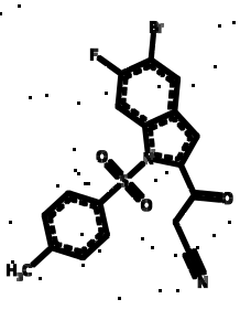 Cc1ccc(S(=O)(=O)n2c(C(=O)CC#N)cc3cc(Br)c(F)cc32)cc1